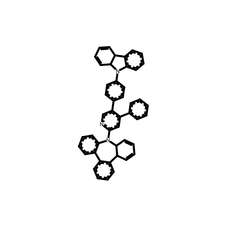 C1=CC2c3ccccc3N(c3ccc(-c4cnc(N5c6ccccc6-c6ccccc6C6C=CC=CC65)cc4-c4ccccc4)cc3)C2C=C1